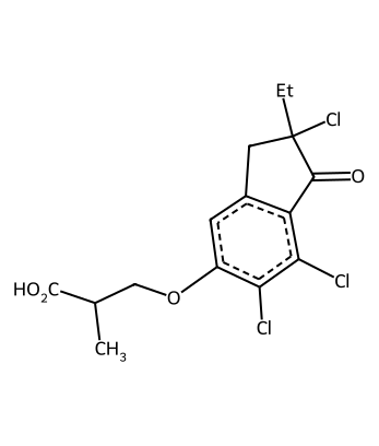 CCC1(Cl)Cc2cc(OCC(C)C(=O)O)c(Cl)c(Cl)c2C1=O